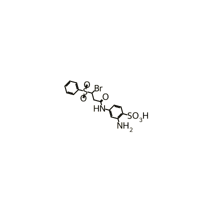 Nc1cc(NC(=O)CC(Br)S(=O)(=O)c2ccccc2)ccc1S(=O)(=O)O